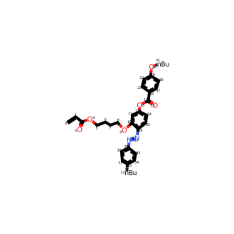 C=CC(=O)OCCCCOc1cc(OC(=O)c2ccc(OCCCC)cc2)ccc1/N=N/c1ccc(CCCC)cc1